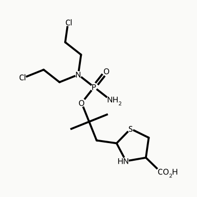 CC(C)(CC1NC(C(=O)O)CS1)OP(N)(=O)N(CCCl)CCCl